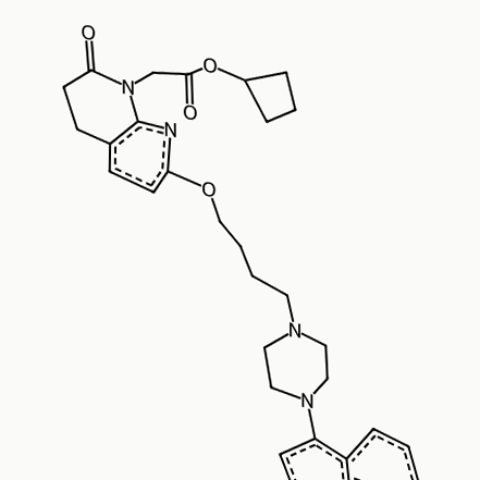 O=C(CN1C(=O)CCc2ccc(OCCCCN3CCN(c4cccc5ccccc45)CC3)nc21)OC1CCC1